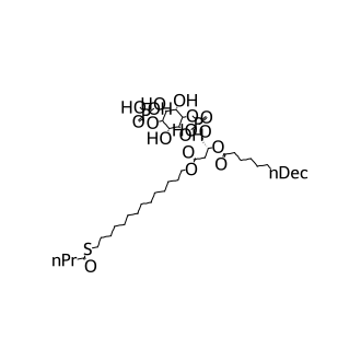 CCCCCCCCCCCCCCCC(=O)O[C@@H](COP(=O)(O)OC1C(O)[C@H](O)C(OP(=O)(O)O)[C@H](O)[C@@H]1O)CC(=O)OCCCCCCCCCCCCCCSC(=O)CCC